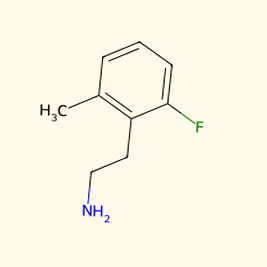 Cc1cccc(F)c1CCN